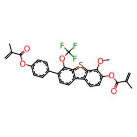 C=C(C)C(=O)Oc1ccc(-c2ccc3c(sc4c(OC)c(OC(=O)C(=C)C)ccc43)c2OC(F)(F)F)cc1